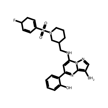 Bc1cnn2c(NCC3CCCN(S(=O)(=O)C4=CCC(F)C=C4)C3)cc(-c3ccccc3O)nc12